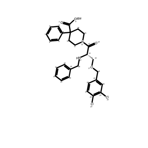 COC(=O)C1(c2ccccc2)CCN(C(=O)[C@H](COCc2ccc(Cl)c(Cl)c2)NCc2ccccc2)CC1